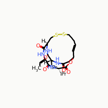 C/C=C1/NC(=O)[C@H]2CSSCC/C=C/C(CC(=O)N[C@H](C(C)C)C(=O)N2)OC(=O)[C@H](C(C)C)NC1=O